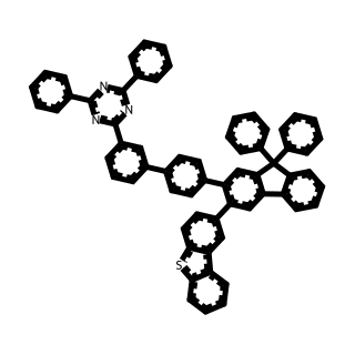 c1ccc(-c2nc(-c3ccccc3)nc(-c3cccc(-c4ccc(-c5cc6c(cc5-c5ccc7sc8ccccc8c7c5)-c5ccccc5C6(c5ccccc5)c5ccccc5)cc4)c3)n2)cc1